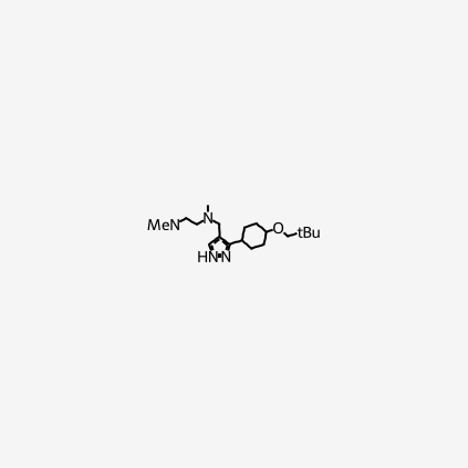 CNCCN(C)Cc1c[nH]nc1C1CCC(OCC(C)(C)C)CC1